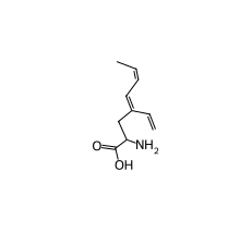 C=C/C(=C\C=C/C)CC(N)C(=O)O